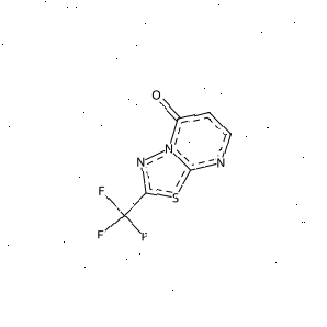 O=c1ccnc2sc(C(F)(F)F)nn12